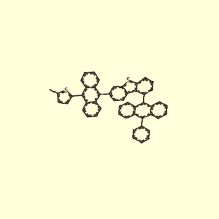 Cc1ccc(-c2c3ccccc3c(-c3ccc4c(c3)sc3cccc(-c5c6ccccc6c(-c6ccccc6)c6ccccc56)c34)c3ccccc23)s1